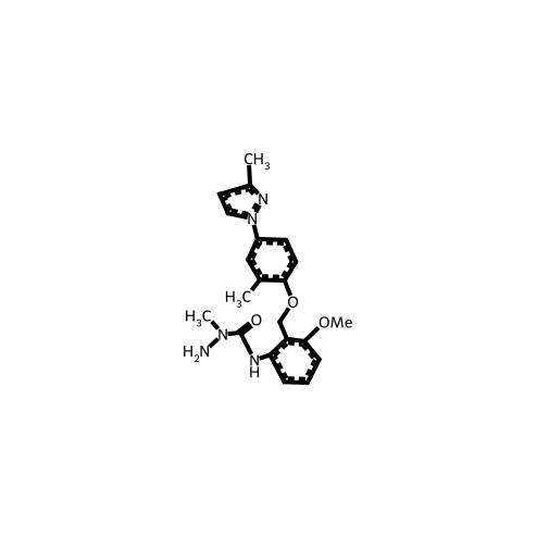 COc1cccc(NC(=O)N(C)N)c1COc1ccc(-n2ccc(C)n2)cc1C